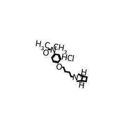 CC(=O)N(C)c1ccc(OCCCCN2C[C@H]3CC[C@H]3C2)cc1.Cl